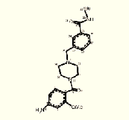 COc1cc(N)ccc1C(=O)N1CCN(Cc2cccc(C(=O)NC(C)(C)C)c2)CC1